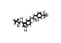 CC1(C(=O)Nc2c[nH]c3ccc(CC(O)Cc4ccc(C(F)(F)F)cc4)cc23)CC1